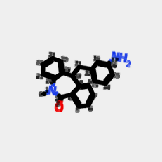 CN1C(=O)c2ccccc2C(Cc2cccc(N)c2)c2ccccc21